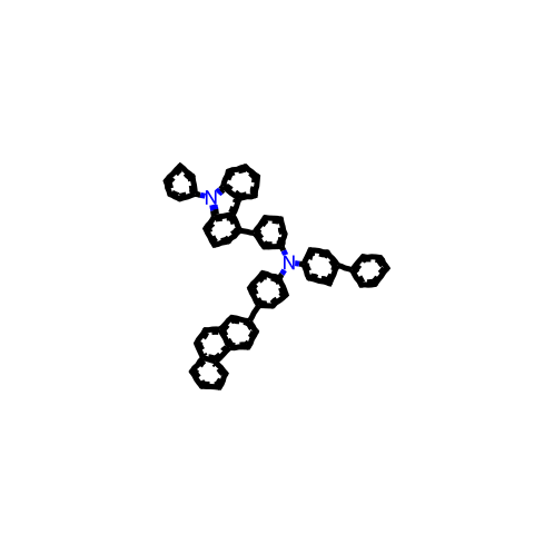 c1ccc(-c2ccc(N(c3ccc(-c4ccc5c(ccc6ccccc65)c4)cc3)c3cccc(-c4cccc5c4c4ccccc4n5-c4ccccc4)c3)cc2)cc1